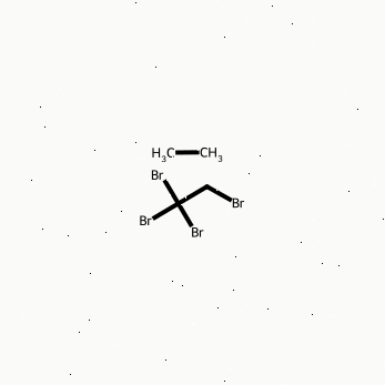 BrCC(Br)(Br)Br.CC